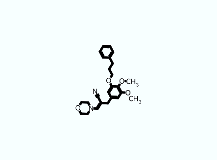 COc1cc(CC(C#N)=CN2CCOCC2)cc(OCCCc2ccccc2)c1OC